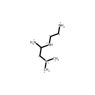 CN(C)CC(N)NCCN